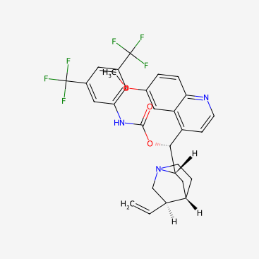 C=C[C@H]1CN2CC[C@H]1C[C@H]2[C@H](OC(=O)Nc1cc(C(F)(F)F)cc(C(F)(F)F)c1)c1ccnc2ccc(OC)cc12